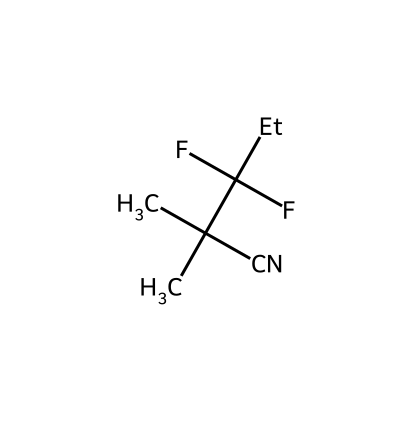 CCC(F)(F)C(C)(C)C#N